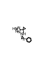 c1ccc([C@H]2C[C@@H]2NCC2(c3nn[nH]n3)CC2)cc1